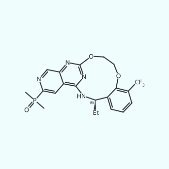 CC[C@H]1Nc2nc(nc3cnc(P(C)(C)=O)cc23)OCCOc2c1cccc2C(F)(F)F